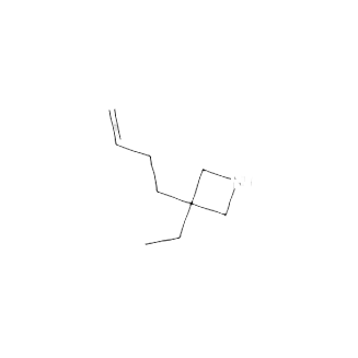 C=CCCC1(CC)CNC1